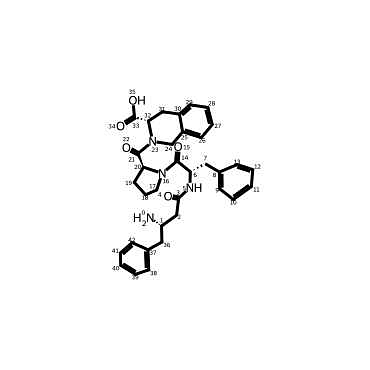 N[C@H](CC(=O)N[C@@H](Cc1ccccc1)C(=O)N1CCC[C@H]1C(=O)N1Cc2ccccc2C[C@H]1C(=O)O)Cc1ccccc1